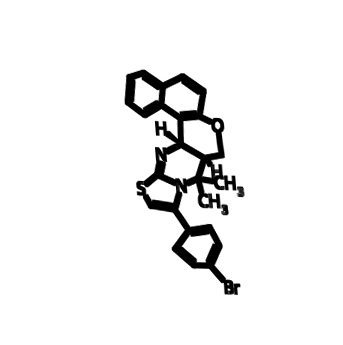 CC1(C)[C@H]2COc3ccc4ccccc4c3[C@H]2N=C2SC=C(c3ccc(Br)cc3)N21